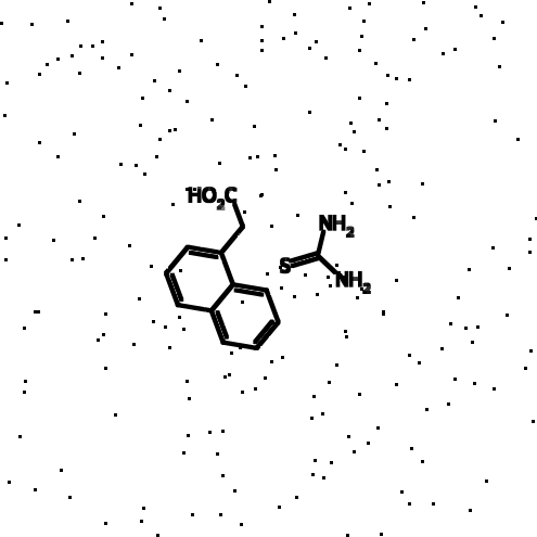 NC(N)=S.O=C(O)Cc1cccc2ccccc12